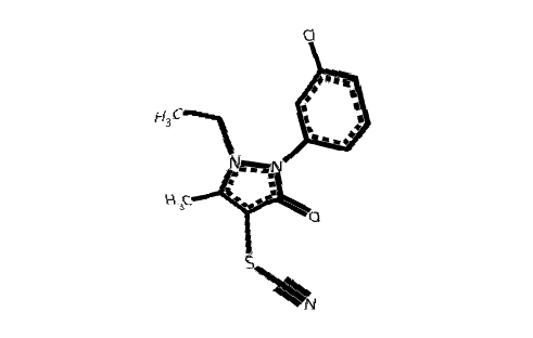 CCn1c(C)c(SC#N)c(=O)n1-c1cccc(Cl)c1